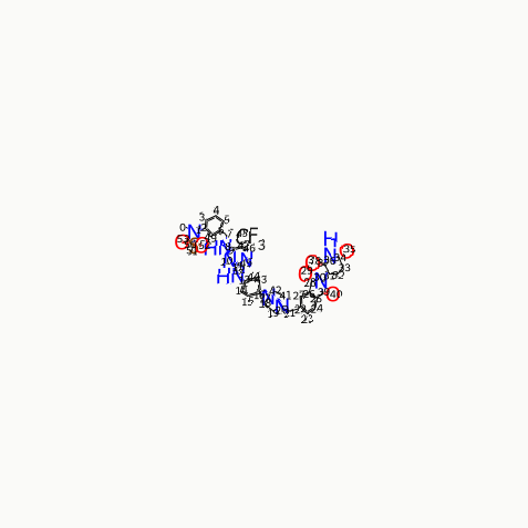 CN(c1cccc(CNc2nc(Nc3ccc(N4CCN(Cc5ccc6c(c5)C(=O)N(C5CCC(=O)NC5=O)C6=O)CC4)cc3)ncc2C(F)(F)F)c1)S(C)(=O)=O